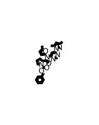 Cc1cc(C)n(-c2cc(N(C(=O)C3CCCN3C(=O)OCc3ccccc3)c3ccc(C)o3)ncn2)n1